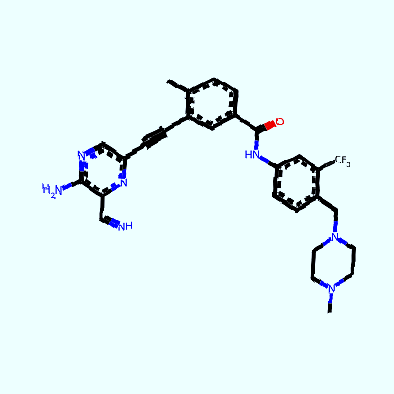 Cc1ccc(C(=O)Nc2ccc(CN3CCN(C)CC3)c(C(F)(F)F)c2)cc1C#Cc1cnc(N)c(C=N)n1